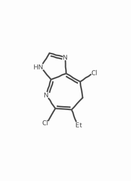 CCC1=C(Cl)N=c2[nH]cnc2=C(Cl)C1